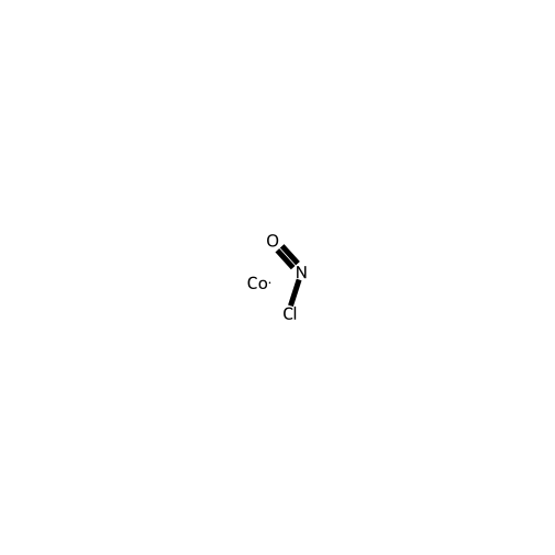 O=NCl.[Co]